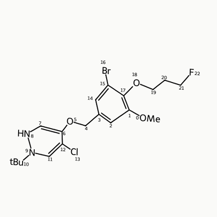 COc1cc(COC2=CNN(C(C)(C)C)C=C2Cl)cc(Br)c1OCCCF